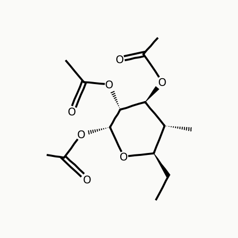 CC[C@H]1O[C@H](OC(C)=O)[C@H](OC(C)=O)[C@@H](OC(C)=O)[C@@H]1C